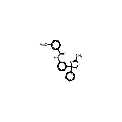 COc1cccc(C(=O)Nc2cccc(C3(c4ccccc4)COC(N)=N3)c2)c1